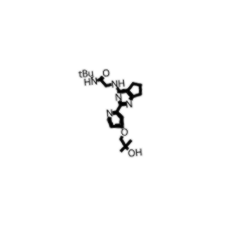 CC(C)(O)COc1ccnc(-c2nc3c(c(NCC(=O)NC(C)(C)C)n2)CCC3)c1